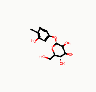 Cc1ccc(O[C@@H]2OC(CO)[C@@H](O)C(O)C2O)cc1O